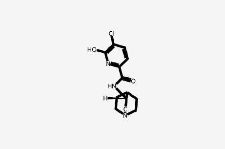 O=C(N[C@H]1CN2CCC1CC2)c1ccc(Cl)c(O)n1